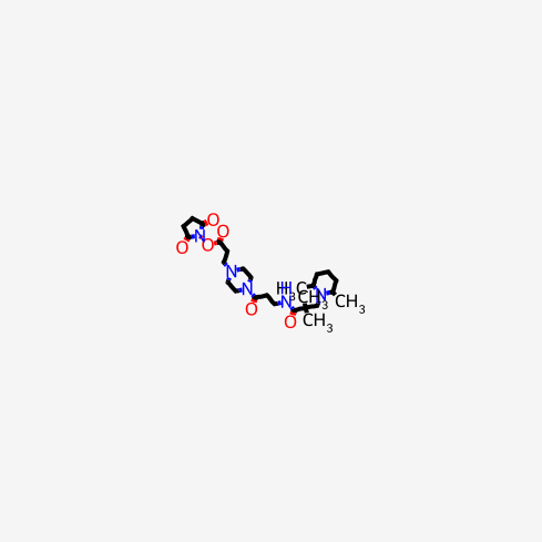 CC1CCCC(C)N1CC(C)(C)C(=O)NCCC(=O)N1CCN(CCC(=O)ON2C(=O)CCC2=O)CC1